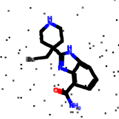 CCC(C)CC1(c2nc3c(C(N)=O)cccc3[nH]2)CCNCC1